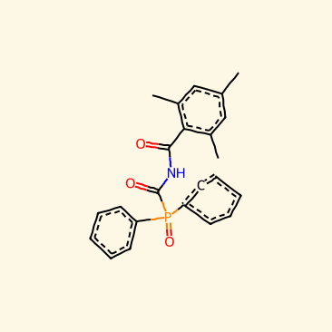 Cc1cc(C)c(C(=O)NC(=O)P(=O)(c2ccccc2)c2ccccc2)c(C)c1